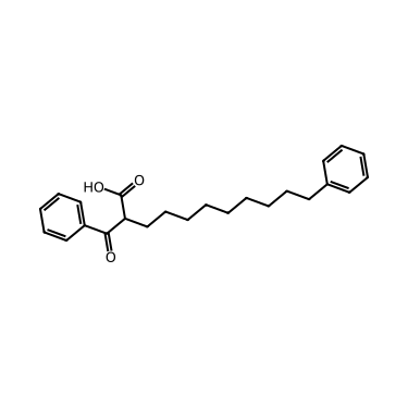 O=C(O)C(CCCCCCCCCc1ccccc1)C(=O)c1ccccc1